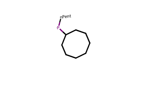 CCCCC[P]C1CCCCCCC1